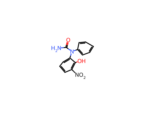 NC(=O)N(c1ccccc1)c1cccc([N+](=O)[O-])c1O